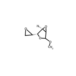 COC1O[C@H](C2CO2)[C@H]2OC12